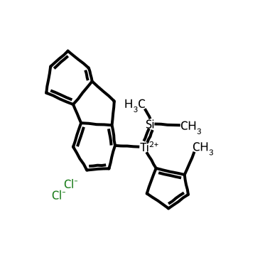 CC1=[C]([Ti+2]([c]2cccc3c2Cc2ccccc2-3)=[Si](C)C)CC=C1.[Cl-].[Cl-]